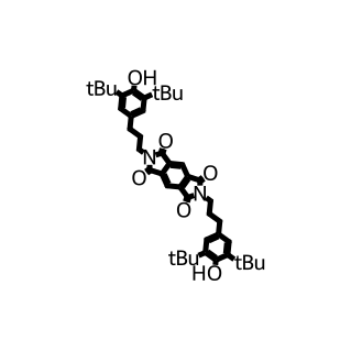 CC(C)(C)c1cc(CCCn2c(=O)c3cc4c(=O)n(CCCc5cc(C(C)(C)C)c(O)c(C(C)(C)C)c5)c(=O)c4cc3c2=O)cc(C(C)(C)C)c1O